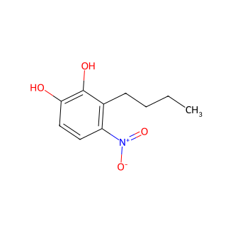 CCCCc1c([N+](=O)[O-])ccc(O)c1O